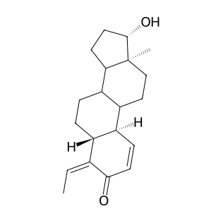 C/C=C1\C(=O)C=C[C@@H]2C3CC[C@@]4(C)C(CC[C@@H]4O)C3CC[C@@H]12